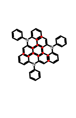 c1ccc(N(c2ccccc2)c2ccccc2-c2cc(-c3ccccc3N(c3ccccc3)c3ccccc3)cc(-c3ccccc3N(c3ccccc3)c3ccccc3)c2)cc1